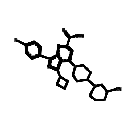 COC(=O)c1cc(N2CCC(N3CCCC(C#N)C3)CC2)c2c(C3CCC3)nn(-c3ccc(F)cc3)c2n1